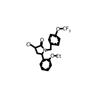 CCOc1ccccc1C1CC(Cl)C(=O)N1Cc1ccc(OC(F)(F)F)cc1